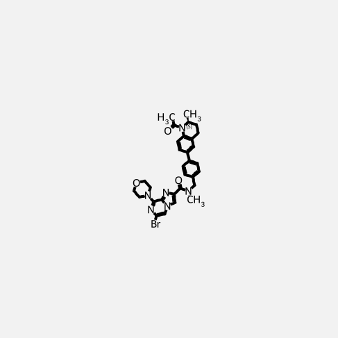 CC(=O)N1c2ccc(-c3ccc(CN(C)C(=O)c4cn5cc(Br)nc(N6CCOCC6)c5n4)cc3)cc2CC[C@@H]1C